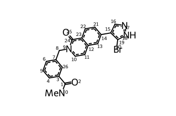 CNC(=O)c1cccc(Cn2ccc3cc(-c4cn[nH]c4Br)ccc3c2=O)c1